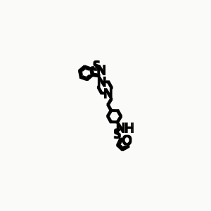 c1coc(SNC2CCC(CCN3CCN(c4nsc5ccccc45)CC3)CC2)c1